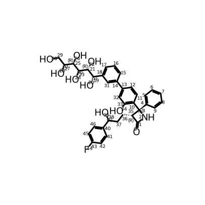 O=C1N[C@@](c2ccccc2)(c2ccc(-c3cccc([C@H](O)[C@@H](O)[C@@H](O)[C@H](O)[C@@H](O)CO)c3)cc2O)[C@H]1CC[C@H](O)c1ccc(F)cc1